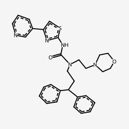 O=C(Nc1nc(-c2cccnc2)cs1)N(CCC(c1ccccc1)c1ccccc1)CCN1CCOCC1